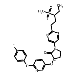 CCC(CCc1ncc(N2CC[C@@H](Oc3ccc(Oc4ccc(F)cc4)nc3)C2=O)cn1)S(C)(=O)=O